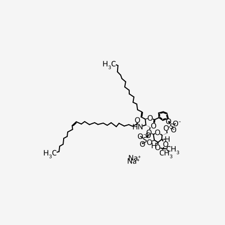 CCCCCCCC/C=C\CCCCCCCCCCCCCC(=O)N[C@@H](CO[C@H]1O[C@H](COS(=O)(=O)[O-])[C@@H]2OC(C)(C)O[C@@H]2[C@H]1OS(=O)(=O)[O-])[C@@H](/C=C/CCCCCCCCCCCCC)OC(=O)c1ccccc1.[Na+].[Na+]